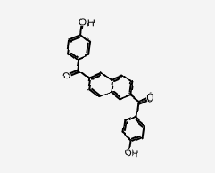 O=C(c1ccc(O)cc1)c1ccc2cc(C(=O)c3ccc(O)cc3)ccc2c1